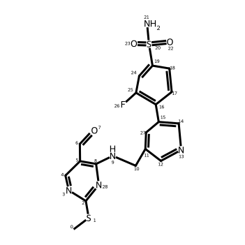 CSc1ncc(C=O)c(NCc2cncc(-c3ccc(S(N)(=O)=O)cc3F)c2)n1